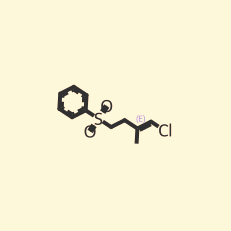 C/C(=C\Cl)CCS(=O)(=O)c1ccccc1